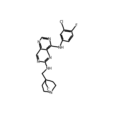 Fc1ccc(Nc2ncnc3cnc(NCC45CCN(CC4)CC5)nc23)cc1Cl